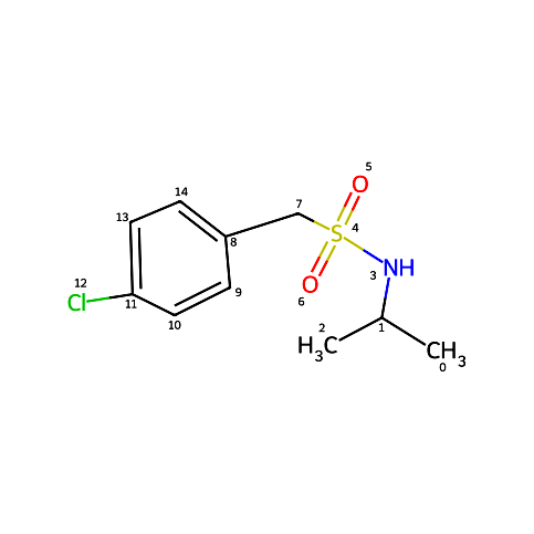 CC(C)NS(=O)(=O)Cc1ccc(Cl)cc1